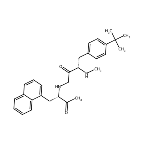 CN[C@@H](Cc1ccc(C(C)(C)C)cc1)C(=O)CN[C@@H](Cc1cccc2ccccc12)C(C)=O